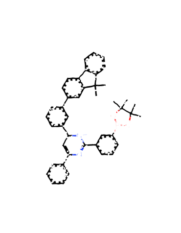 CC1(C)c2ccccc2-c2ccc(-c3cccc(C4C=C(c5ccccc5)N=C(c5cccc(B6OC(C)(C)C(C)(C)O6)c5)N4)c3)cc21